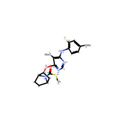 COc1c(Nc2ccc(SC)cc2F)ncnc1O[C@H]1CC2CCC1N2C(=O)SC(C)C